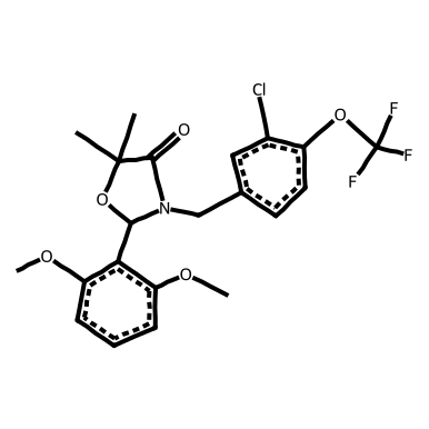 COc1cccc(OC)c1C1OC(C)(C)C(=O)N1Cc1ccc(OC(F)(F)F)c(Cl)c1